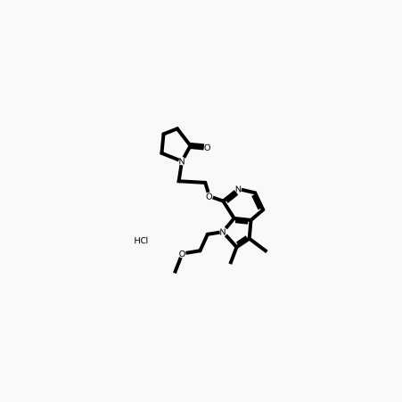 COCCn1c(C)c(C)c2ccnc(OCCN3CCCC3=O)c21.Cl